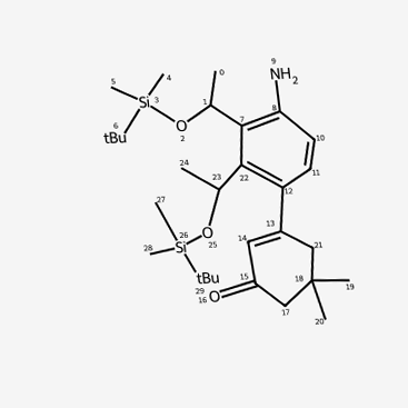 CC(O[Si](C)(C)C(C)(C)C)c1c(N)ccc(C2=CC(=O)CC(C)(C)C2)c1C(C)O[Si](C)(C)C(C)(C)C